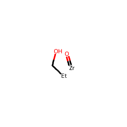 CCCO.[O]=[Zr]